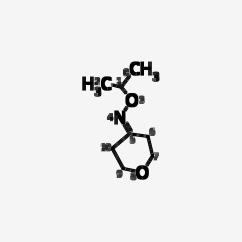 CC(C)ON=C1CCOCC1